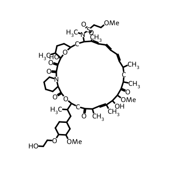 COCCS(=O)(=O)N(C)C1CC2CCC(C)C(O)(O2)C(=O)C(=O)N2CCCCC2C(=O)OC(C(C)CC2CCC(OCCO)C(OC)C2)CC(=O)C(C)/C=C(\C)C(O)C(OC)C(=O)C(C)CC(C)/C=C/C=C/C=C/1C